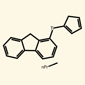 C1=CC[C]([Ti][c]2cccc3c2Cc2ccccc2-3)=C1.CCCC